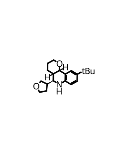 CC(C)(C)c1ccc2c(c1)[C@H]1OCCC[C@H]1[C@H](C1CCOC1)N2